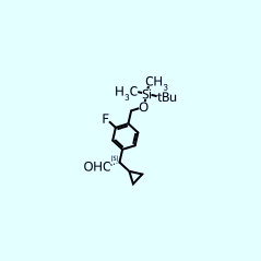 CC(C)(C)[Si](C)(C)OCc1ccc([C@@H](C=O)C2CC2)cc1F